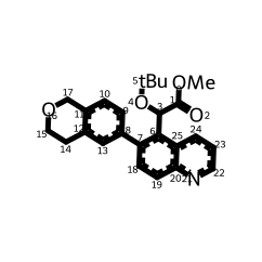 COC(=O)C(OC(C)(C)C)c1c(-c2ccc3c(c2)CCOC3)ccc2ncccc12